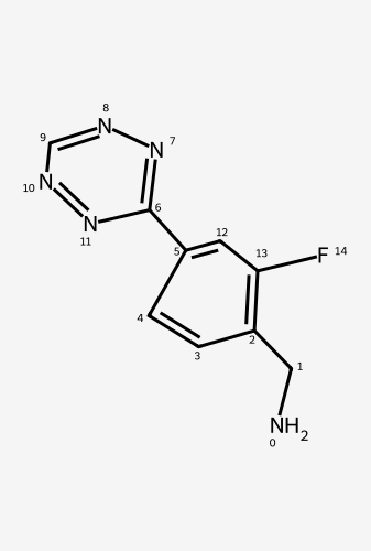 NCc1ccc(-c2nncnn2)cc1F